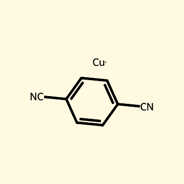 N#Cc1ccc(C#N)cc1.[Cu]